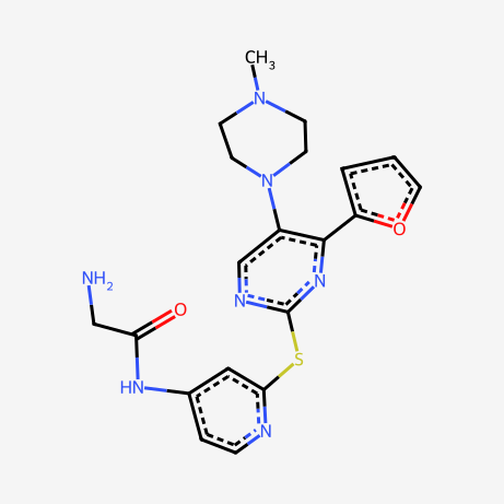 CN1CCN(c2cnc(Sc3cc(NC(=O)CN)ccn3)nc2-c2ccco2)CC1